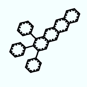 c1ccc(-c2cc3cc4cc5ccccc5cc4cc3c(-c3ccccc3)c2-c2ccccc2)cc1